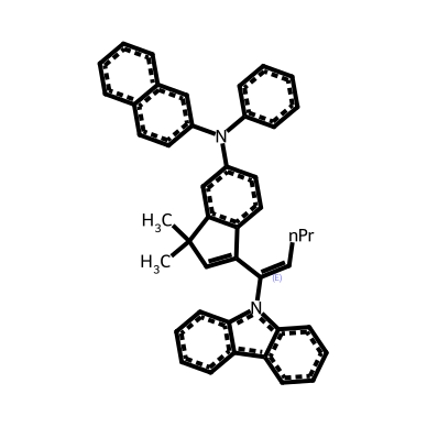 CCC/C=C(\C1=CC(C)(C)c2cc(N(c3ccccc3)c3ccc4ccccc4c3)ccc21)n1c2ccccc2c2ccccc21